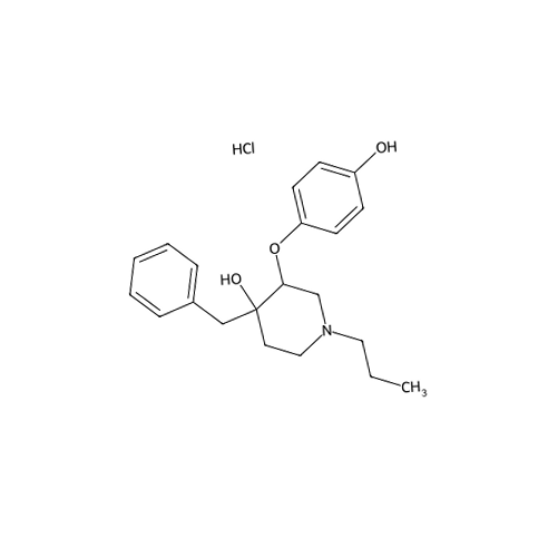 CCCN1CCC(O)(Cc2ccccc2)C(Oc2ccc(O)cc2)C1.Cl